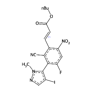 CCCCOC(=O)/C=C/c1c([N+](=O)[O-])cc(F)c(-c2c(I)cnn2C)c1C#N